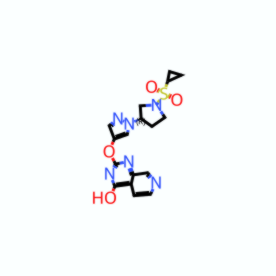 O=S(=O)(C1CC1)N1CC[C@@H](n2cc(Oc3nc(O)c4ccncc4n3)cn2)C1